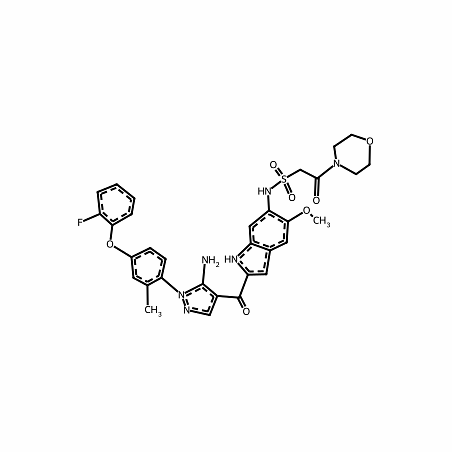 COc1cc2cc(C(=O)c3cnn(-c4ccc(Oc5ccccc5F)cc4C)c3N)[nH]c2cc1NS(=O)(=O)CC(=O)N1CCOCC1